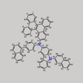 c1ccc(-c2c(-c3ccccc3)c3cc(N(c4ccc(-c5cccc6ccccc56)cc4)c4ccc5c(c4)c4ccccc4n5-c4ccc5ccccc5c4)ccc3c3ccccc23)cc1